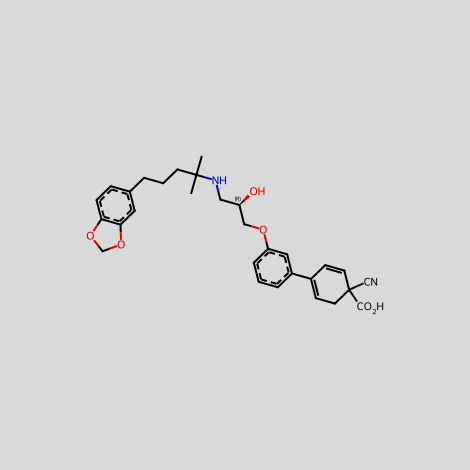 CC(C)(CCCc1ccc2c(c1)OCO2)NC[C@@H](O)COc1cccc(C2=CCC(C#N)(C(=O)O)C=C2)c1